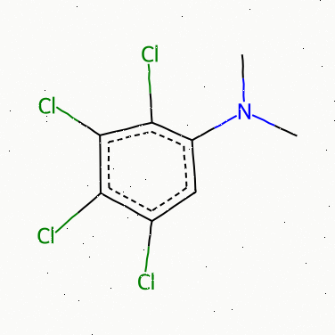 CN(C)c1cc(Cl)c(Cl)c(Cl)c1Cl